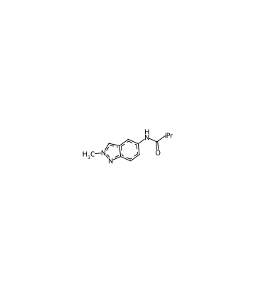 CC(C)C(=O)Nc1ccc2nn(C)cc2c1